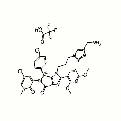 COc1ncc(-c2nc3c(n2CCCn2cc(CN)nn2)[C@H](c2ccc(Cl)cc2)N(c2cc(Cl)cn(C)c2=O)C3=O)c(OC)n1.O=C(O)C(F)(F)F